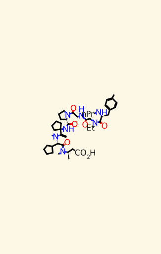 C=C(N(C)[C@H](C(=O)N(C)[C@H](C)CC(=O)O)C1CCCC1)C1(NC(=O)[C@@H]2CCCN2C(=O)CNC(=O)CN(CC)C(=O)[C@H](Cc2ccc(C)cc2)NCCC)CCCC1